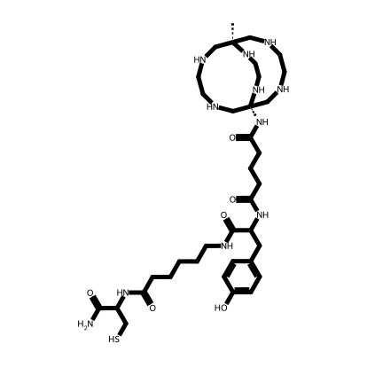 C[C@]12CNCCNC[C@](NC(=O)CCCC(=O)NC(Cc3ccc(O)cc3)C(=O)NCCCCCC(=O)NC(CS)C(N)=O)(CNCCNC1)NCCN2